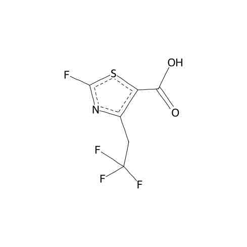 O=C(O)c1sc(F)nc1CC(F)(F)F